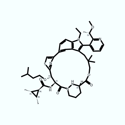 CCn1c(-c2cccnc2[C@H](C)OC)c2c3cc(ccc31)-c1csc(n1)[C@@H](OCCC(C)C)[C@H](NC(=O)[C@H]1[C@H](C)[C@@H]1C)C(=O)N1CCC[C@H](N1)C(=O)OCC(C)(C)C2